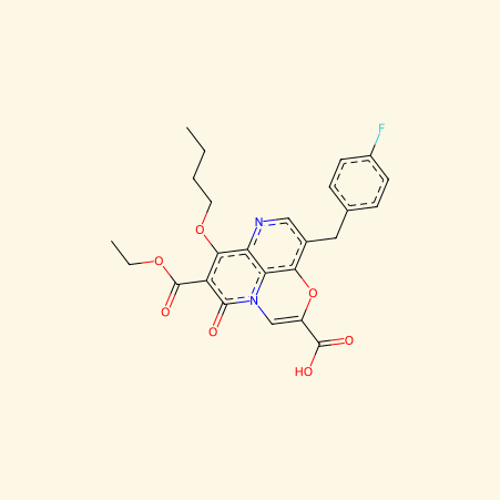 CCCCOc1c(C(=O)OCC)c(=O)n2c3c(c(Cc4ccc(F)cc4)cnc13)OC(C(=O)O)=C2